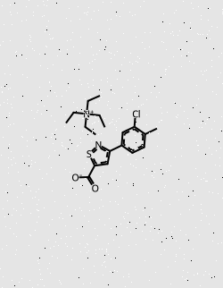 CC[N+](CC)(CC)CC.Cc1ccc(-c2cc(C(=O)[O-])sn2)cc1Cl